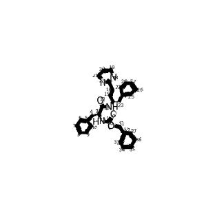 O=C(N[C@@H](Cc1ccccc1)C(=O)N[C@H](/C=C/c1ncccn1)Cc1ccccc1)OCc1ccccc1